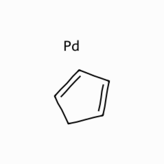 C1=CCC=C1.[Pd]